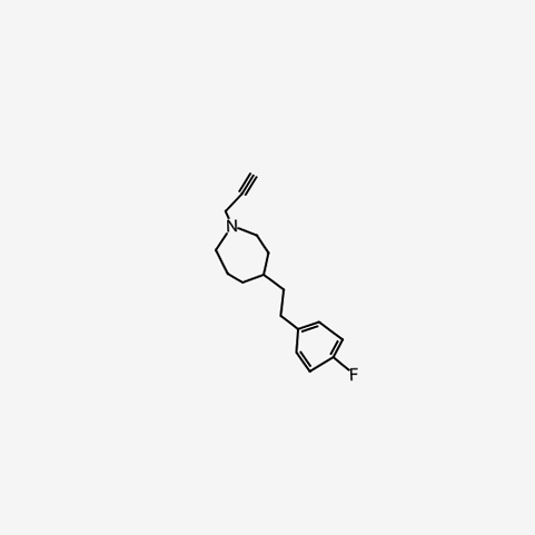 C#CCN1CCCC(CCc2ccc(F)cc2)CC1